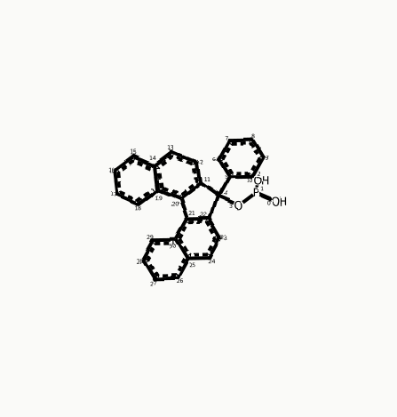 OP(O)OC1(c2ccccc2)c2ccc3ccccc3c2-c2c1ccc1ccccc21